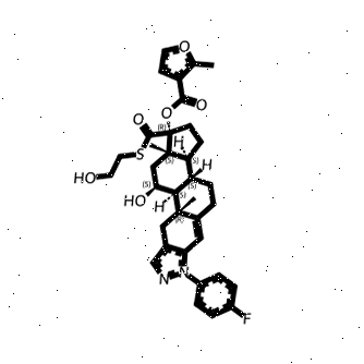 Cc1occc1C(=O)O[C@]1(C(=O)SCCO)CC[C@H]2[C@@H]3CCC4=Cc5c(cnn5-c5ccc(F)cc5)C[C@]4(C)[C@H]3[C@@H](O)C[C@@]21C